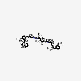 CO[C@H]1CCCC(C[C@@H](C)CCC(=O)[C@H](C)/C=C(\C)C[C@@H](OC)C(=O)[C@H](C)C[C@H](C)/C=C/C=C/C=C(\C)CC[C@@H]2CC[C@@H](C)[C@](O)(C(=O)C(=O)N3CCCC[C@H]3C(=O)O)O2)C1